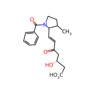 CC1CCN(C(=O)c2ccccc2)C1C=CC(=O)C[C@@H](O)CC(=O)O